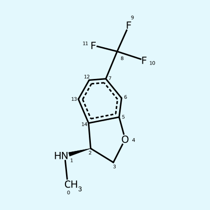 CN[C@@H]1COc2cc(C(F)(F)F)ccc21